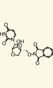 O=C1c2ccccc2C(=O)N1OC[C@]12COC(C1O)[C@H](n1ccc(=O)[nH]c1=O)O2